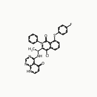 C[C@H](Nc1ncnc2[nH]ccc(=O)c12)c1c(Cl)c2cccc(Sc3ccc(F)cc3)c2c(=O)n1-c1ccccc1